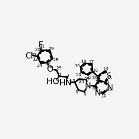 OC(CNC1CCN(c2ncnc3scc(-c4ccccc4)c23)CC1)COc1ccc(F)c(Cl)c1